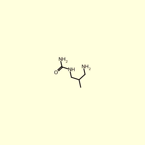 CC(CN)CNC(N)=O